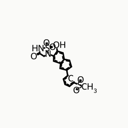 CS(=O)(=O)c1cccc(-c2ccc3cc(O)c(N4CC(=O)NS4(=O)=O)cc3c2)c1